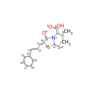 CC(C)C(C(=O)O)N1C(=O)C(=CC=Cc2ccccc2)SC1=S